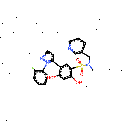 CN(Cc1cccnc1)S(=O)(=O)c1cc(-c2ccnn2-c2ccccc2F)c(O)cc1O